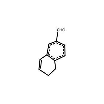 O=Cc1ccc2c(c1)C=CCC2